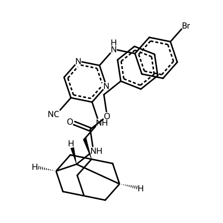 N#Cc1cnc(Nc2cccc(Br)c2)nc1NC[C@]12CC3C[C@H](C1)[C@@H](NC(=O)OCc1ccccc1)[C@@H](C3)C2